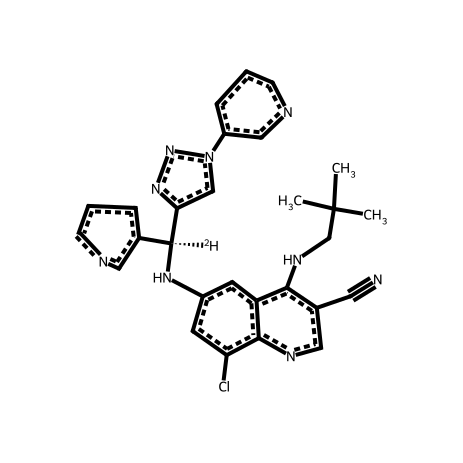 [2H][C@](Nc1cc(Cl)c2ncc(C#N)c(NCC(C)(C)C)c2c1)(c1cccnc1)c1cn(-c2cccnc2)nn1